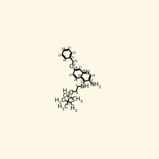 CC(C)(C)[Si](C)(C)OCCNc1c(N)cnc2cc(OCc3ccccc3)ccc12